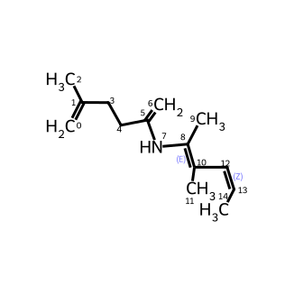 C=C(C)CCC(=C)N/C(C)=C(C)/C=C\C